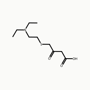 CCN(CC)CCSCC(=O)CC(=O)O